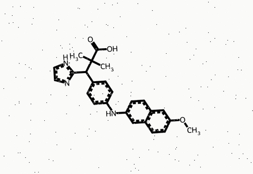 COc1ccc2cc(Nc3ccc(C(c4ncc[nH]4)C(C)(C)C(=O)O)cc3)ccc2c1